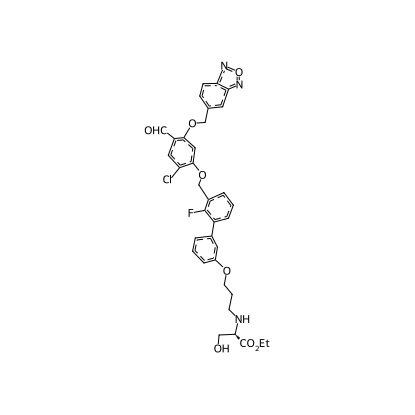 CCOC(=O)[C@@H](CO)NCCCOc1cccc(-c2cccc(COc3cc(OCc4ccc5nonc5c4)c(C=O)cc3Cl)c2F)c1